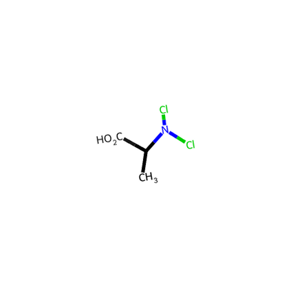 CC(C(=O)O)N(Cl)Cl